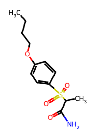 CCCCOc1ccc(S(=O)(=O)C(C)C(N)=O)cc1